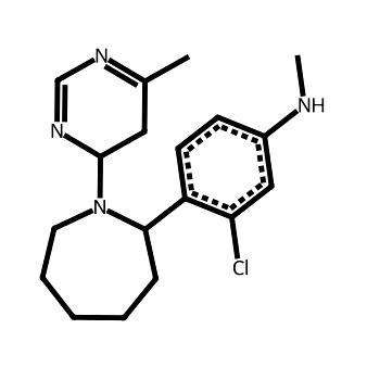 CNc1ccc(C2CCCCCN2C2CC(C)=NC=N2)c(Cl)c1